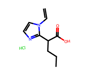 C=Cn1ccnc1C(CCC)C(=O)O.Cl